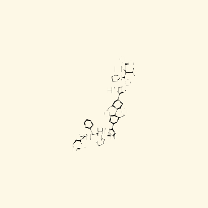 COC(=O)NC(C(=O)N1CCC[C@H]1c1ncc(-c2cc3c4c(c2)OCc2cc(-c5cnc([C@@H]6CCCN6C(=O)[C@H](NC(=O)c6ccncn6)c6ccccc6)[nH]5)cc(c2-4)OC3)[nH]1)C(C)C